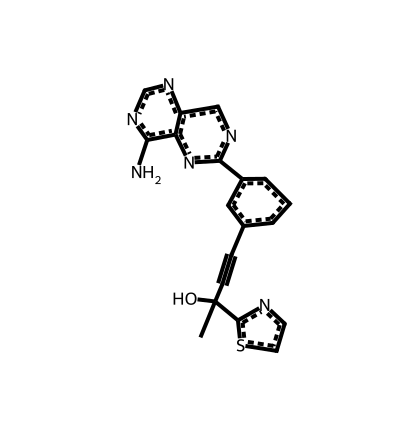 CC(O)(C#Cc1cccc(-c2ncc3ncnc(N)c3n2)c1)c1nccs1